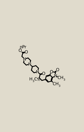 CCCOC(=O)CN1CCN(C2CCN(C(=O)[C@H](C)Cc3cc(C)c4c(c3)oc(=O)n4C)CC2)CC1